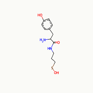 NC(Cc1ccc(O)cc1)C(=O)NCCCSO